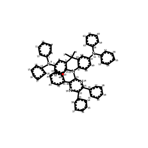 CC1(C)c2cc(N(c3ccccc3)c3ccccc3)ccc2N(c2nc(-c3ccccc3)c(-c3ccccc3)nc2-c2ccccc2)c2ccc(N(c3ccccc3)c3ccccc3)cc21